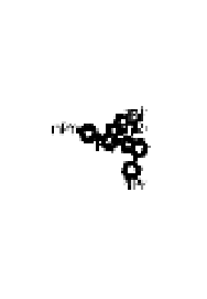 CCCc1ccc(-c2cccc3c2C=C(CC(C)C)[CH]3[Zr+2]2([CH]3C(CC(C)C)=Cc4c(-c5ccc(CCC)cc5)cccc43)[CH2]C[CH2]2)cc1.[Cl-].[Cl-]